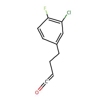 O=C=CCCc1ccc(F)c(Cl)c1